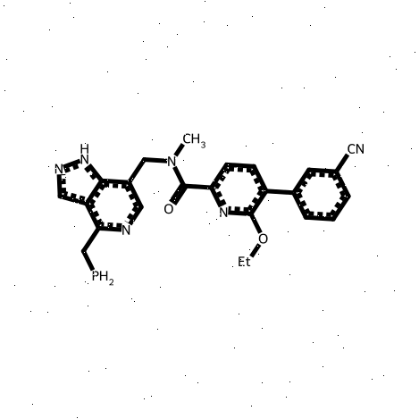 CCOc1nc(C(=O)N(C)Cc2cnc(CP)c3cn[nH]c23)ccc1-c1cccc(C#N)c1